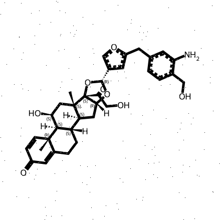 C[C@]12C=CC(=O)C=C1CC[C@@H]1[C@@H]2[C@@H](O)C[C@@]2(C)[C@H]1C[C@H]1O[C@@H](c3coc(Cc4ccc(CO)c(N)c4)c3)O[C@]12C(=O)CO